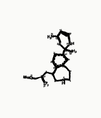 CO[C@@H](CC1CNCCc2cc(C3(N)N=C(N)C=CN3)ccc21)C(F)(F)F